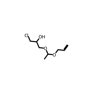 C=CCOC(C)OCC(O)CCl